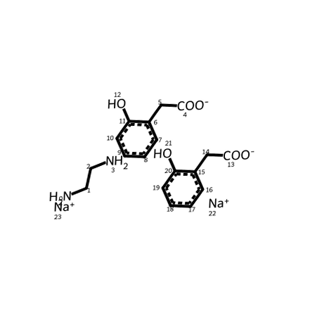 NCCN.O=C([O-])Cc1ccccc1O.O=C([O-])Cc1ccccc1O.[Na+].[Na+]